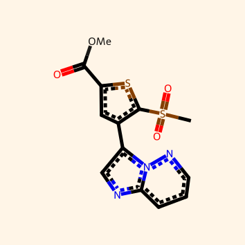 COC(=O)c1cc(-c2cnc3cccnn23)c(S(C)(=O)=O)s1